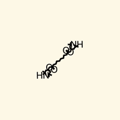 C=C1CC(OC(=O)CCCCCCCCC(=O)OC2CC(C)(C)NC(C)(C)C2)CC(C)(C)N1